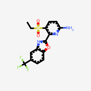 CCS(=O)(=O)c1ccc(N)nc1-c1nc2cc(C(F)(F)F)ccc2o1